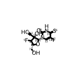 C#C[C@@]1(O)C(F)[C@@H](CO)O[C@H]1n1cc(F)c(=S)[nH]c1=O